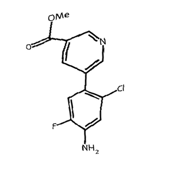 COC(=O)c1cncc(-c2cc(F)c(N)cc2Cl)c1